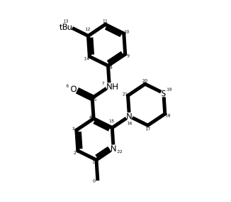 Cc1ccc(C(=O)Nc2cc[c]c(C(C)(C)C)c2)c(N2CCSCC2)n1